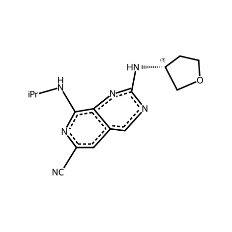 CC(C)Nc1nc(C#N)cc2cnc(N[C@@H]3CCOC3)nc12